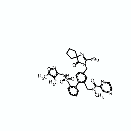 CCCCC1=NC2(CCCC2)C(=O)N1Cc1ccc(-c2ccccc2S(=O)(=O)Nc2noc(C)c2C)c(CN(C)C(=O)c2cnccn2)c1